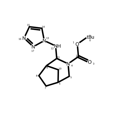 CC(C)(C)OC(=O)N1CC2CCC(C2)C1Nn1ccnn1